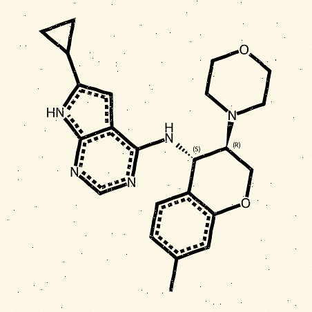 Cc1ccc2c(c1)OC[C@H](N1CCOCC1)[C@H]2Nc1ncnc2[nH]c(C3CC3)cc12